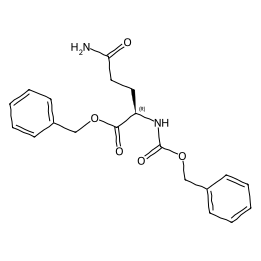 NC(=O)CC[C@@H](NC(=O)OCc1ccccc1)C(=O)OCc1ccccc1